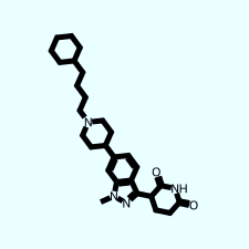 Cn1nc(C2CCC(=O)NC2=O)c2ccc(C3CCN(CCCCC4CCCCC4)CC3)cc21